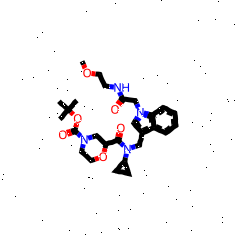 COCCNC(=O)Cn1cc(CN(C(=O)C2CN(C(=O)OC(C)(C)C)CCO2)C2CC2)c2ccccc21